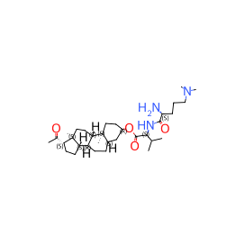 CC(=O)[C@H]1CC[C@H]2[C@@H]3CC[C@H]4C[C@H](OC(=O)[C@@H](NC(=O)[C@@H](N)CCCN(C)C)C(C)C)CC[C@]4(C)[C@H]3CC[C@]12C